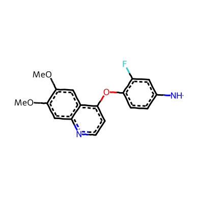 COc1cc2nccc(Oc3ccc([NH])cc3F)c2cc1OC